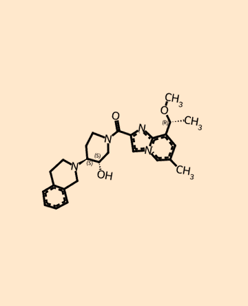 CO[C@H](C)c1cc(C)cn2cc(C(=O)N3CC[C@H](N4CCc5ccccc5C4)[C@@H](O)C3)nc12